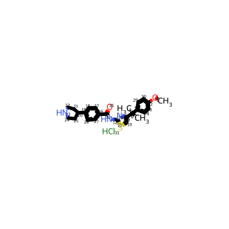 COc1ccc(C(C)(C)c2csc(NC(=O)c3ccc(C4CCNCC4)cc3)n2)cc1.Cl